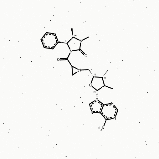 CC1[C@@H](C)[C@@H](CN2CC2C(=O)N2C(=O)N(C)[C@H](C)[C@@H]2c2ccccc2)O[C@H]1n1cnc2c(N)ncnc21